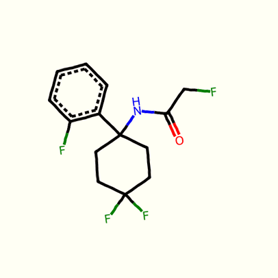 O=C(CF)NC1(c2ccccc2F)CCC(F)(F)CC1